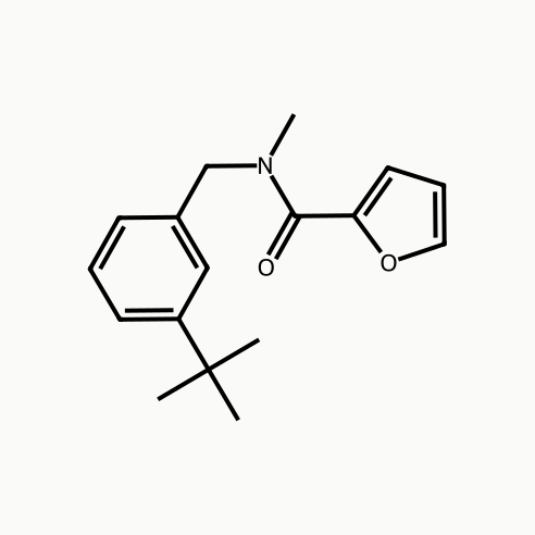 CN(Cc1cccc(C(C)(C)C)c1)C(=O)c1ccco1